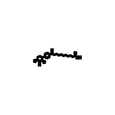 O=C(O)CCCCCCCCCNc1ccc(C2CCC(=O)NC2=O)cc1